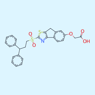 O=C(O)COc1ccc2c(c1)Cc1sc(S(=O)(=O)CCC(c3ccccc3)c3ccccc3)nc1-2